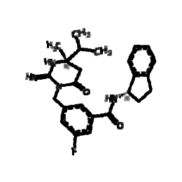 CC(C)[C@]1(C)CC(=O)N(Cc2cc(F)cc(C(=O)N[C@H]3CCc4ccccc43)c2)C(=N)N1